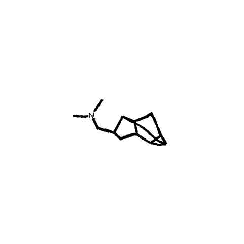 CN(C)CC1CC2C3CC4C2C4C13